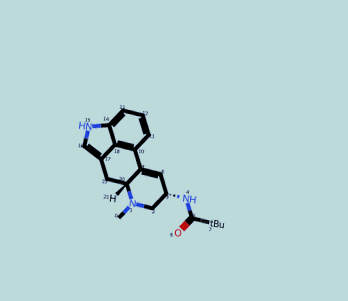 CN1C[C@@H](NC(=O)C(C)(C)C)C=C2c3cccc4[nH]cc(c34)C[C@H]21